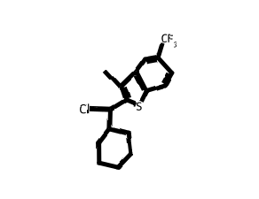 Cc1c(C(Cl)C2CCCCC2)sc2ccc(C(F)(F)F)cc12